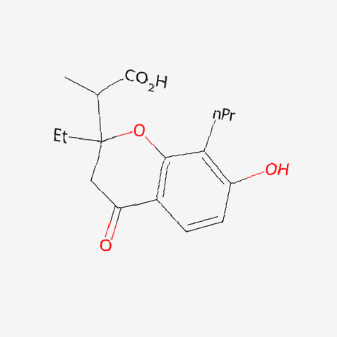 CCCc1c(O)ccc2c1OC(CC)(C(C)C(=O)O)CC2=O